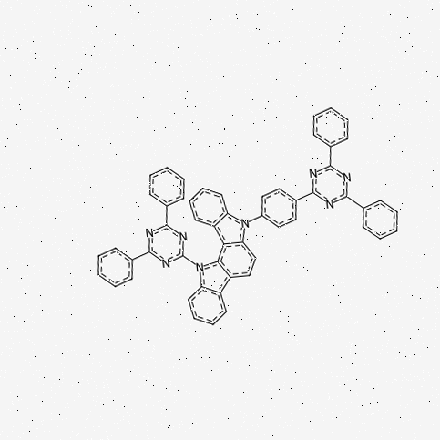 c1ccc(-c2nc(-c3ccccc3)nc(-c3ccc(-n4c5ccccc5c5c4ccc4c6ccccc6n(-c6nc(-c7ccccc7)nc(-c7ccccc7)n6)c45)cc3)n2)cc1